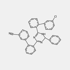 N#Cc1cccc(-c2ccccc2C2=NC(c3ccccc3)NC(c3ccccc3-c3cccc(Cl)c3)=N2)c1